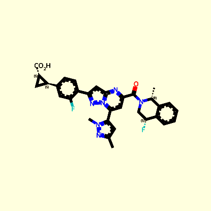 Cc1cc(-c2cc(C(=O)N3C[C@@H](F)c4ccccc4[C@H]3C)nc3cc(-c4ccc([C@H]5C[C@@H]5C(=O)O)cc4F)nn23)n(C)n1